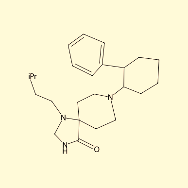 CC(C)CCN1CNC(=O)C12CCN(C1CCCCC1c1ccccc1)CC2